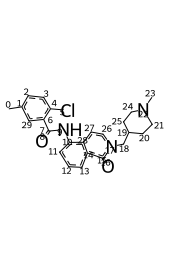 Cc1ccc(Cl)c(C(=O)Nc2cccc3c(=O)n(CC4CCN(C)CC4)ccc23)c1